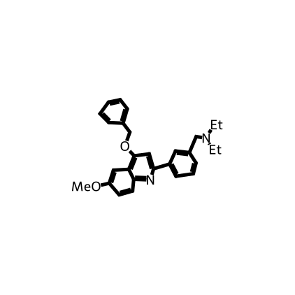 CCN(CC)Cc1cccc(-c2cc(OCc3ccccc3)c3cc(OC)ccc3n2)c1